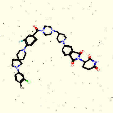 N#Cc1ccc(N2CCC3(CCN(c4ccc(C(=O)N5CCN(CC6CCN(c7ccc8c(c7)C(=O)N(C7CCC(=O)NC7=O)C8=O)CC6)CC5)cc4F)CC3)C2)cc1Cl